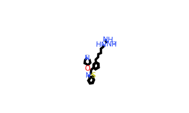 CN1CCC(OC(c2cccc(CCCCCCNC(=N)N)c2)c2nc3ccccc3s2)CC1